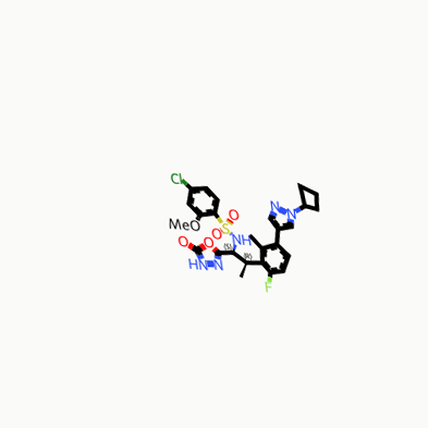 COc1cc(Cl)ccc1S(=O)(=O)N[C@H](c1n[nH]c(=O)o1)[C@H](C)c1c(F)ccc(-c2cnn(C3CCC3)c2)c1C